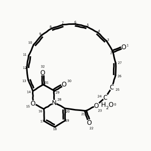 O.O=C1C=CC=CC=CC=CC=CC=C2OC3C=CC=C(C(=O)OCCC=C1)N3C(=O)C2=O